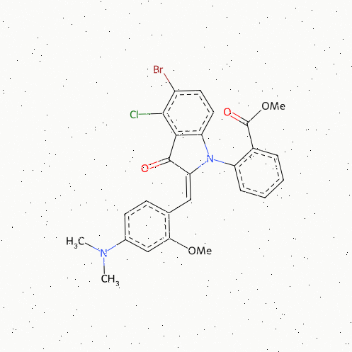 COC(=O)c1ccccc1N1C(=Cc2ccc(N(C)C)cc2OC)C(=O)c2c1ccc(Br)c2Cl